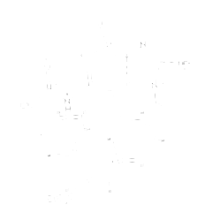 CCCCc1nc2c(C)cc(NC(=O)C(C)(C)C)cc2n1Cc1ccc(OC(C(=O)OCC)c2ccccc2)cc1